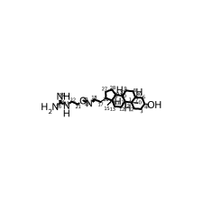 C[C@]12CC[C@H](O)C[C@H]1CC[C@@H]1[C@@H]2CC[C@]2(C)[C@@H](C/C=N/OCCNC(=N)N)CC[C@@H]12